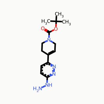 CC(C)(C)OC(=O)N1CC=C(c2ccc(NN)nn2)CC1